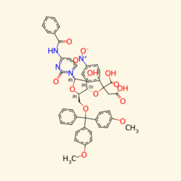 COc1ccc(C(OC[C@H]2O[C@@H](n3ccc(NC(=O)c4ccccc4)nc3=O)[C@H](O)[C@@H]2OC(CC(=O)O)(C(=O)O)c2ccc([N+](=O)[O-])cc2)(c2ccccc2)c2ccc(OC)cc2)cc1